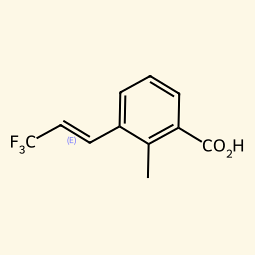 Cc1c(/C=C/C(F)(F)F)cccc1C(=O)O